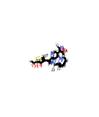 C=C(O)c1cc(-c2cn([C@@H](C)c3ccccn3)c3cc(-c4c(C)noc4C)cnc23)cs1